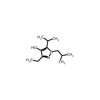 CCc1nn(CC(C)C)c(C(C)C)c1O